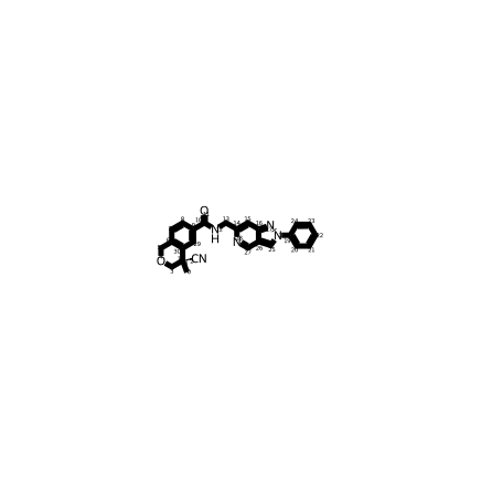 C[C@@]1(C#N)COCc2ccc(C(=O)NCc3cc4nn(-c5ccccc5)cc4cn3)cc21